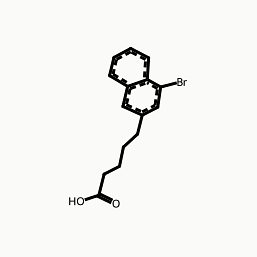 O=C(O)CCCCc1cc(Br)c2ccccc2c1